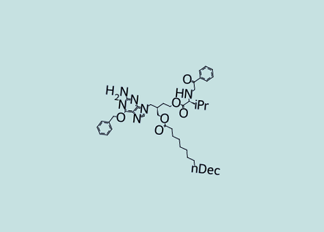 CCCCCCCCCCCCCCCCCC(=O)OC[C@H](CCOC(=O)[C@@H](NCC(=O)c1ccccc1)C(C)C)Cn1cnc2c(OCc3ccccc3)nc(N)nc21